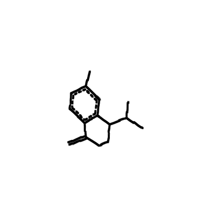 C=C1CCC(C(C)C)c2cc(C)ccc21